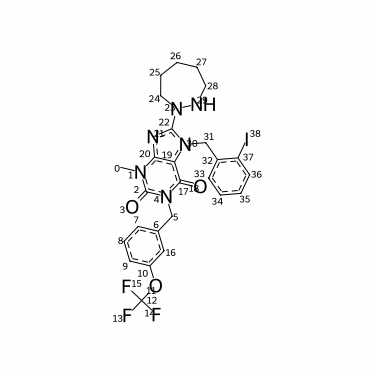 Cn1c(=O)n(Cc2cccc(OC(F)(F)F)c2)c(=O)c2c1nc(N1CCCCCN1)n2Cc1ccccc1I